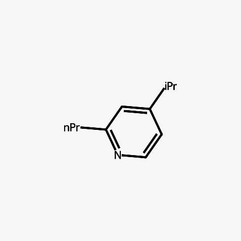 CCCc1cc(C(C)C)ccn1